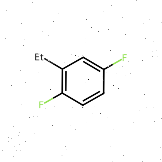 CCc1cc(F)c[c]c1F